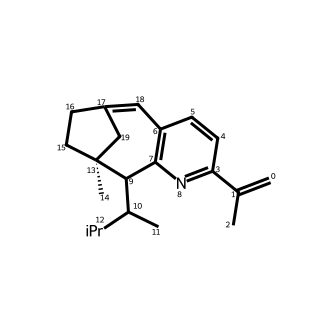 C=C(C)c1ccc2c(n1)C(C(C)C(C)C)[C@@]1(C)CCC(=C2)C1